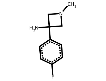 CN1CC(N)(c2ccc(F)cc2)C1